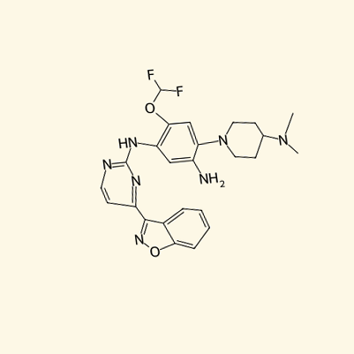 CN(C)C1CCN(c2cc(OC(F)F)c(Nc3nccc(-c4noc5ccccc45)n3)cc2N)CC1